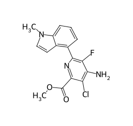 COC(=O)c1nc(-c2cccc3c2ccn3C)c(F)c(N)c1Cl